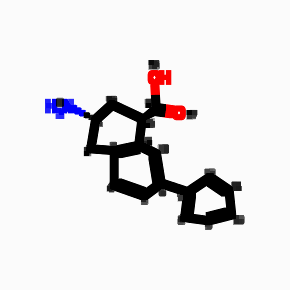 N[C@H]1Cc2ccc(-c3ccccc3)cc2[C@H](C(=O)O)C1